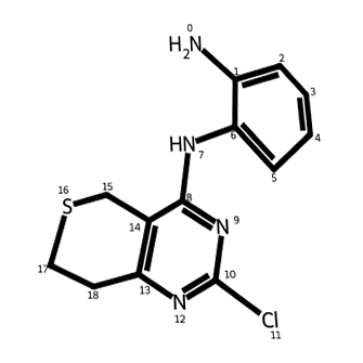 Nc1ccccc1Nc1nc(Cl)nc2c1CSCC2